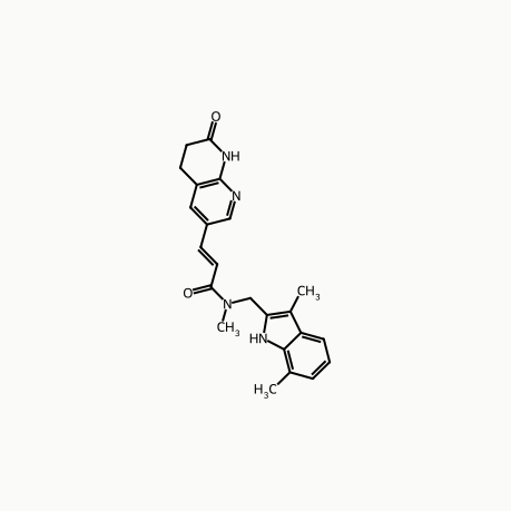 Cc1c(CN(C)C(=O)/C=C/c2cnc3c(c2)CCC(=O)N3)[nH]c2c(C)cccc12